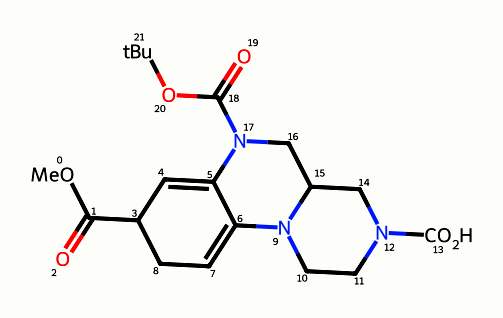 COC(=O)C1C=C2C(=CC1)N1CCN(C(=O)O)CC1CN2C(=O)OC(C)(C)C